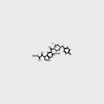 CNC(=O)C(=O)C1CNc2nc(OC)c(C(=O)N3CCN(Cc4ccc(F)cc4)C[C@H]3C)cc21